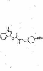 CCCCC1CCN(CCNC(=O)Oc2n[nH]c3ccccc23)CC1